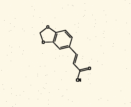 N#CC(=O)C=Cc1ccc2c(c1)OCO2